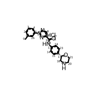 Cc1cccc(-n2ncc(C(=O)Nc3ccc([C@H]4CNCCO4)cc3)n2)c1.Cl